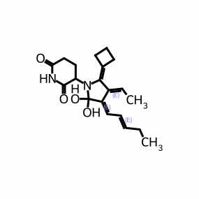 C/C=C1/C(=C2CCC2)N(C2CCC(=O)NC2=O)C(O)(O)/C1=C/C=C/CC